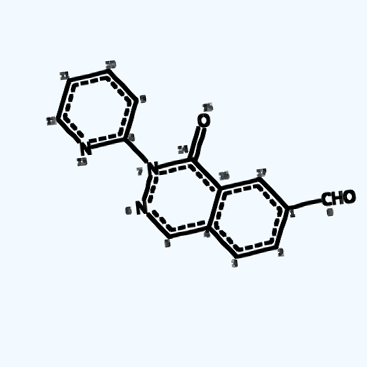 O=Cc1ccc2cnn(-c3ccccn3)c(=O)c2c1